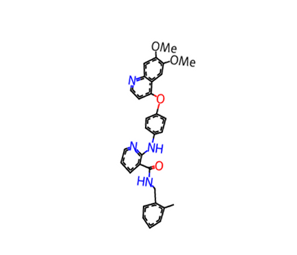 COc1cc2nccc(Oc3ccc(Nc4ncccc4C(=O)NCc4ccccc4C)cc3)c2cc1OC